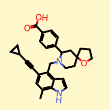 Cc1cc(C#CC2CC2)c(CN2CCC3(CCCO3)CC2c2ccc(C(=O)O)cc2)c2cc[nH]c12